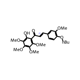 CCCCOc1ccc(/C=C/C(=O)c2c(O)c(OC)c(OC)c(OC)c2OC)cc1OC